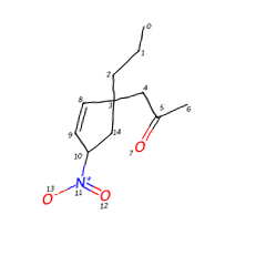 CCCC1(CC(C)=O)C=CC([N+](=O)[O-])C1